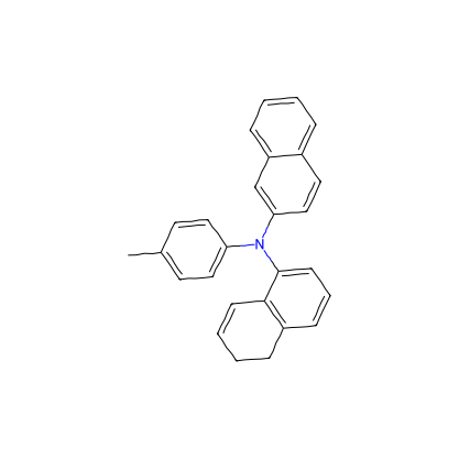 Cc1ccc(N(c2ccc3ccccc3c2)c2cccc3c2C=CCC3)cc1